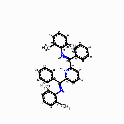 Cc1cccc(C)c1N=C(c1ccccc1)c1cccc(C(=Nc2c(C)cccc2C)c2ccccc2)n1